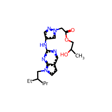 CCC(Cn1ccc2cnc(Nc3cnn(CC(=O)OCC(C)O)c3)nc21)C(C)C